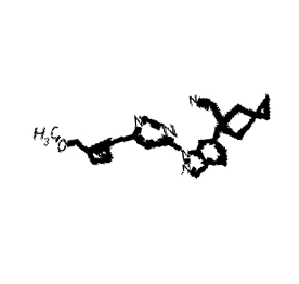 COCC12CC(C1)N(c1cc(-n3ncc4ccc(C5(C#N)CC6(CC6)C5)cc43)ncn1)C2